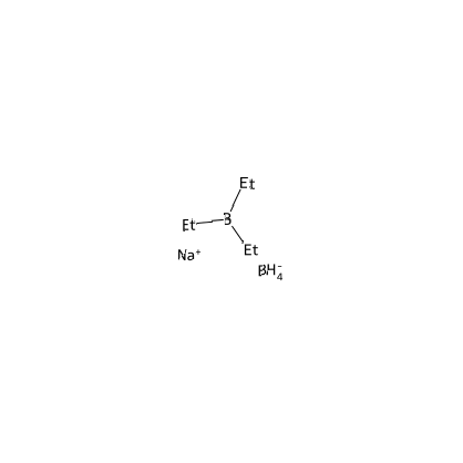 CCB(CC)CC.[BH4-].[Na+]